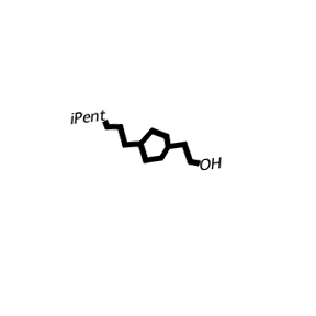 CCCC(C)CCCC1CCC(CCO)CC1